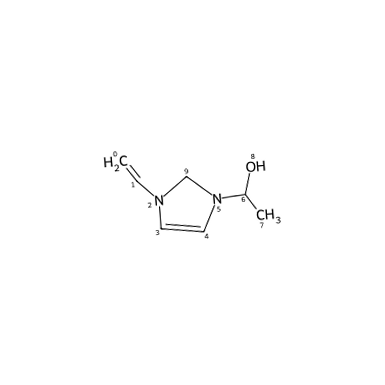 C=CN1C=CN(C(C)O)C1